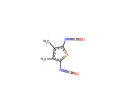 Cc1c(N=C=O)sc(N=C=O)c1C